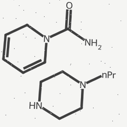 CCCN1CCNCC1.NC(=O)N1C=CC=CC1